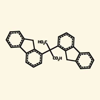 O=C(O)C(C(=O)O)(c1cccc2c1Cc1ccccc1-2)c1cccc2c1Cc1ccccc1-2